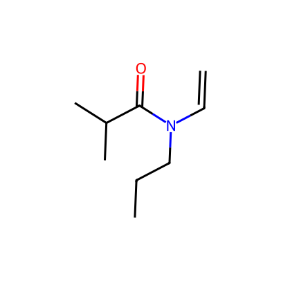 C=CN(CCC)C(=O)C(C)C